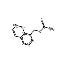 NC(=O)OCc1cccc2c1ONC=C2